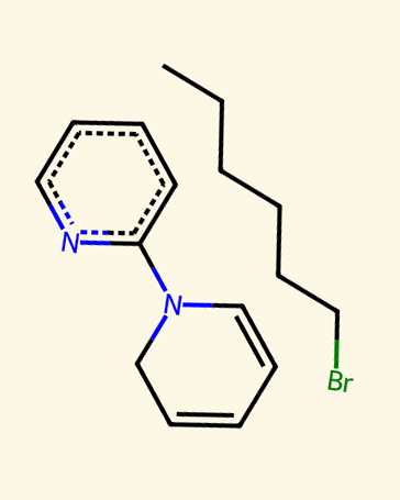 C1=CCN(c2ccccn2)C=C1.CCCCCCBr